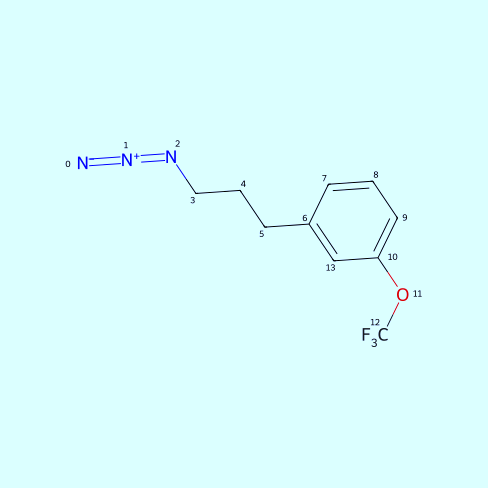 [N-]=[N+]=NCCCc1cccc(OC(F)(F)F)c1